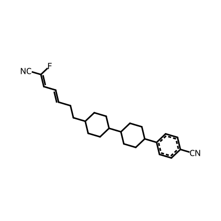 N#CC(F)=CC=CCCC1CCC(C2CCC(c3ccc(C#N)cc3)CC2)CC1